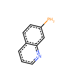 Pc1ccc2cccnc2c1